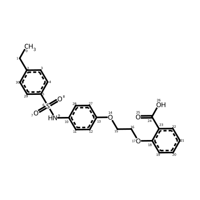 CCc1ccc(S(=O)(=O)Nc2ccc(OCCOc3ccccc3C(=O)O)cc2)cc1